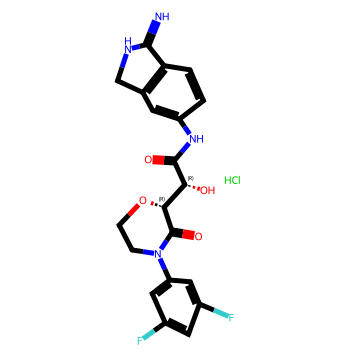 Cl.N=C1NCc2cc(NC(=O)[C@H](O)[C@H]3OCCN(c4cc(F)cc(F)c4)C3=O)ccc21